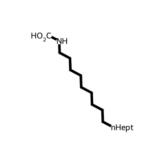 CCCCCCCCCCCCCCCCNC(=O)O